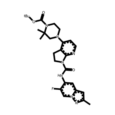 Cc1cc2cc(NC(=O)N3CCc4c(N5CCN(C(=O)OC(C)(C)C)C(C)(C)C5)ccnc43)c(F)cn2n1